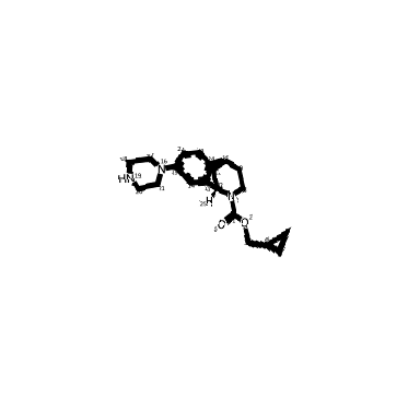 O=C(OCC1CC1)N1CCC2C[C@H]1c1cc(N3CCNCC3)ccc12